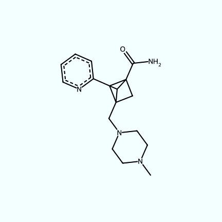 CN1CCN(CC23CC(C(N)=O)(C2)C3c2ccccn2)CC1